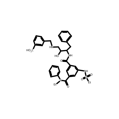 CCN(C(=O)c1cc(NS(=O)(=O)CC)cc(C(=O)NC(Cc2ccccc2)C(O)CNCc2cccc(C(=O)O)c2)c1)c1ccccc1